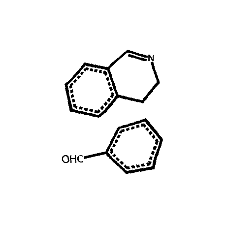 C1=NCCc2ccccc21.O=Cc1ccccc1